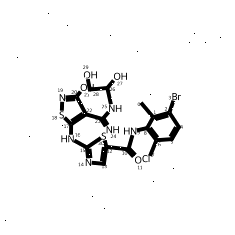 Cc1c(Br)ccc(Cl)c1NC(=O)c1cnc(Nc2snc(O)c2C(=N)NC(O)CO)s1